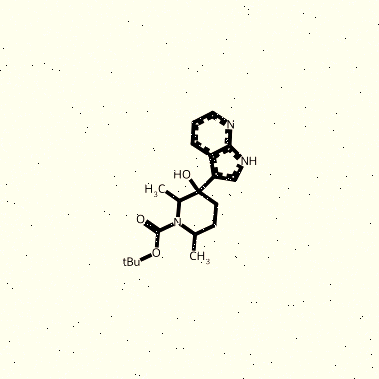 CC1CCC(O)(c2c[nH]c3ncccc23)C(C)N1C(=O)OC(C)(C)C